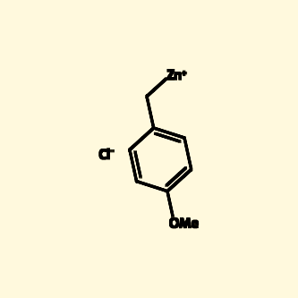 COc1ccc([CH2][Zn+])cc1.[Cl-]